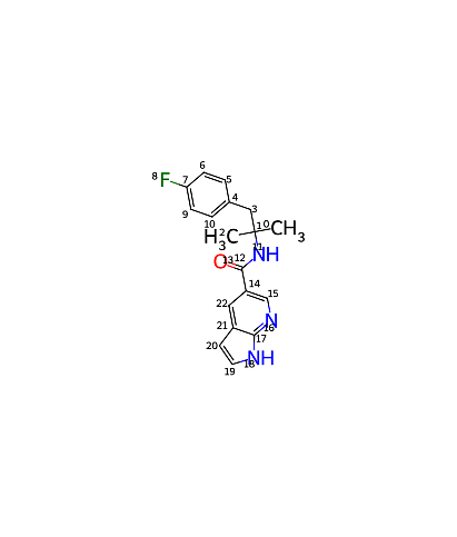 CC(C)(Cc1ccc(F)cc1)NC(=O)c1cnc2[nH]ccc2c1